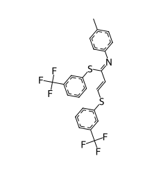 Cc1ccc(N=C(C=CSc2cccc(C(F)(F)F)c2)Sc2cccc(C(F)(F)F)c2)cc1